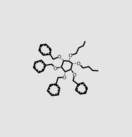 CCCCO[C@@H]1[C@H](OCCCC)[C@@H](OCc2ccccc2)[C@H](OCc2ccccc2)[C@@H](OCc2ccccc2)[C@@H]1OCc1ccccc1